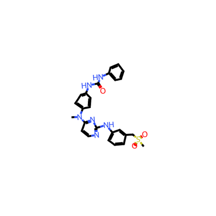 CN(c1ccc(NC(=O)Nc2ccccc2)cc1)c1ccnc(Nc2cccc(CS(C)(=O)=O)c2)n1